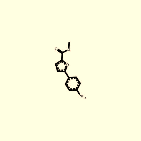 COC(=O)c1ccc(-c2ccc(N)cc2)o1